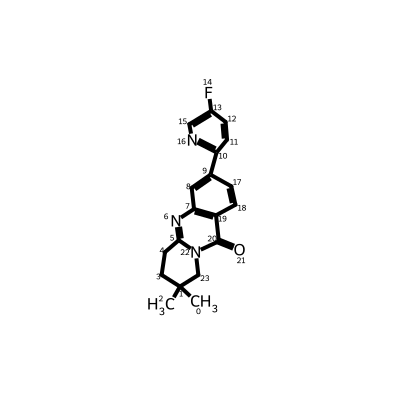 CC1(C)CCc2nc3cc(-c4ccc(F)cn4)ccc3c(=O)n2C1